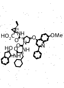 C=C[C@@H]1C[C@]1(NC(=O)[C@@H]1C[C@@H](Oc2cc(-c3ccccc3)nc3cc(OC)ccc23)CN1C(=O)N[C@@H](CC1CCCCC1)C(=O)N[C@H]1c2ccccc2C[C@H]1O)C(=O)O